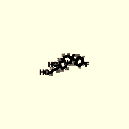 CC1(c2ccc(F)cc2)CCC2(C)CC(O)(CCCO)CCN2C1